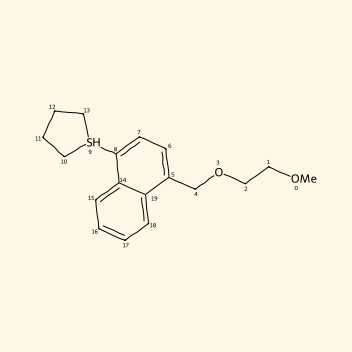 COCCOCc1ccc([SH]2CCCC2)c2ccccc12